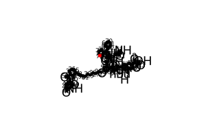 CCCC[C@H](NC(=O)c1cc2cc(C(=O)P(=O)(O)O)ccc2[nH]1)C(=O)N1C[C@H](OCCCCCCC#Cc2cccc3c2CN(C2CCC(=O)NC2=O)C3=O)C[C@H]1C(=O)N[C@@H](CCC(N)=O)C(=O)NC(c1ccccc1)c1ccccc1